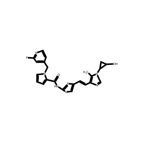 Cc1c(/C=C/c2csc(NC(=O)c3cccn3Cc3ccnc(F)c3)n2)ncn1C1CC1O